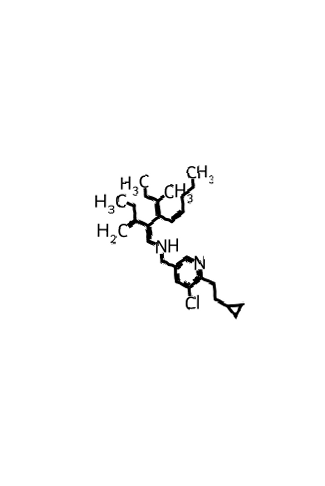 C=C(CC)C(=C/NCc1cnc(CCC2CC2)c(Cl)c1)/C(/C=C\CCC)=C(/C)CC